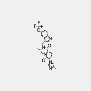 Cc1cn(-c2ccc3n(c2=O)C[C@@H](C)N(Cc2cn(C)c4ccc(OC(F)(F)F)cc24)C3=O)cn1